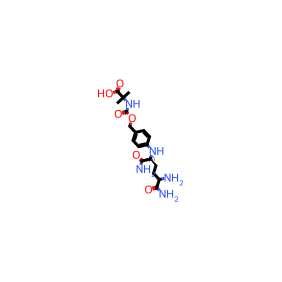 CC(C)(NC(=O)OCc1ccc(N[C@@H](CCC(N)C(N)=O)C(N)=O)cc1)C(=O)O